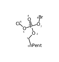 CCCCCCOP(=O)(OCl)OBr